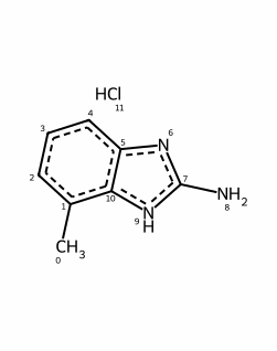 Cc1cccc2nc(N)[nH]c12.Cl